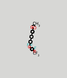 CC1COC(c2ccc(C3CCC(C4CCC(C(F)(F)Oc5ccc(OC(F)(F)F)c(F)c5)CC4)CC3)cc2)OC1